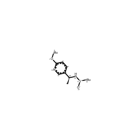 CCC(C)Oc1ccc([C@H](C)N[S+]([O-])C(C)(C)C)cn1